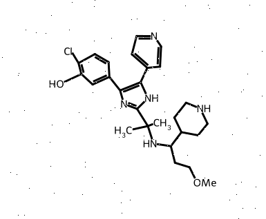 COCCC(NC(C)(C)c1nc(-c2ccc(Cl)c(O)c2)c(-c2ccncc2)[nH]1)C1CCNCC1